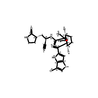 N#C[C@@H](C[C@@H]1CCNC1=O)NC(=O)[C@H]1[C@H]2CC[C@H](CC2(F)F)N1C(=O)c1cc2scc(Cl)c2[nH]1